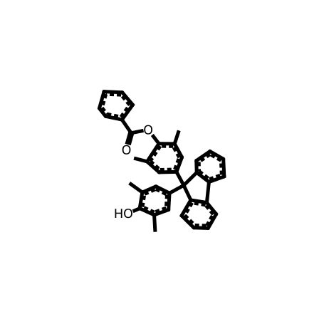 Cc1cc(C2(c3cc(C)c(OC(=O)c4ccccc4)c(C)c3)c3ccccc3-c3ccccc32)cc(C)c1O